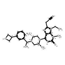 CCn1c(CC#N)nc2c(N3C[C@@H](C)N(C(C)c4cccc(C5COC5)c4)C[C@@H]3C)nc(=O)n(C)c21